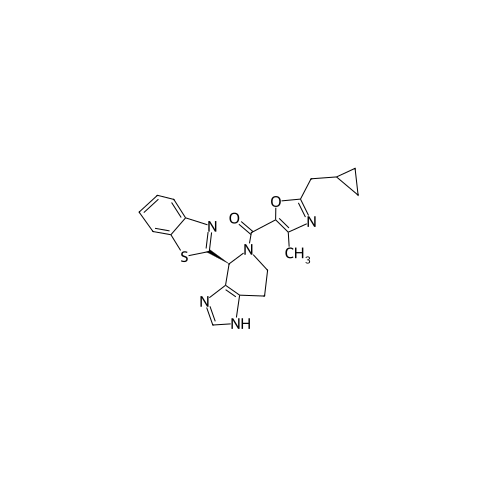 Cc1nc(CC2CC2)oc1C(=O)N1CCc2[nH]cnc2[C@H]1c1nc2ccccc2s1